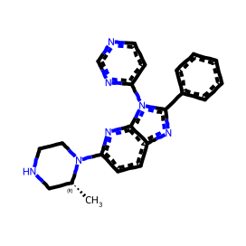 C[C@@H]1CNCCN1c1ccc2nc(-c3ccccc3)n(-c3ccncn3)c2n1